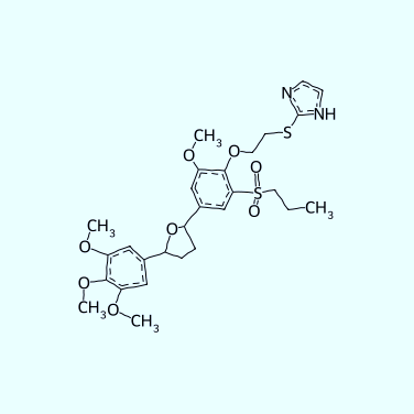 CCCS(=O)(=O)c1cc(C2CCC(c3cc(OC)c(OC)c(OC)c3)O2)cc(OC)c1OCCSc1ncc[nH]1